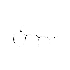 CC(C)=CC(=O)CC1CCC=CC1=O